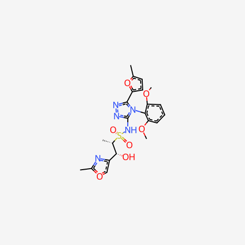 COc1cccc(OC)c1-n1c(NS(=O)(=O)[C@@H](C)[C@H](O)c2coc(C)n2)nnc1-c1ccc(C)o1